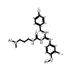 CC(=O)N(C)CCCNC(=O)N/C(=N\c1ccc(OC(C)C)c(F)c1)NCc1ccc(Cl)cc1